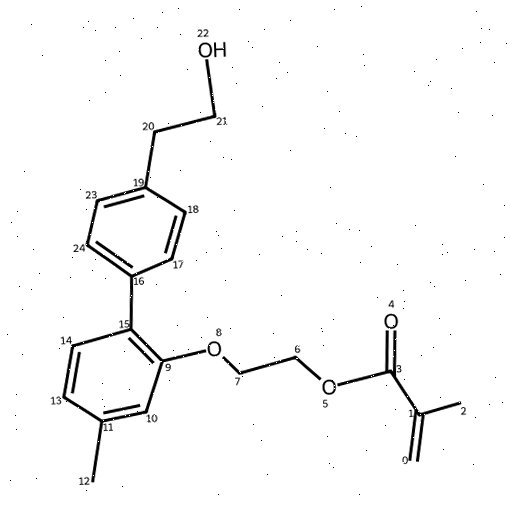 C=C(C)C(=O)OCCOc1cc(C)ccc1-c1ccc(CCO)cc1